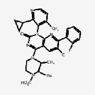 Cc1ccnc(C2CC2)c1-n1c(=O)nc(N2CCN(C(=O)O)C(C(C)(C)C)C2C)c2cc(Cl)c(-c3ccccc3F)nc21